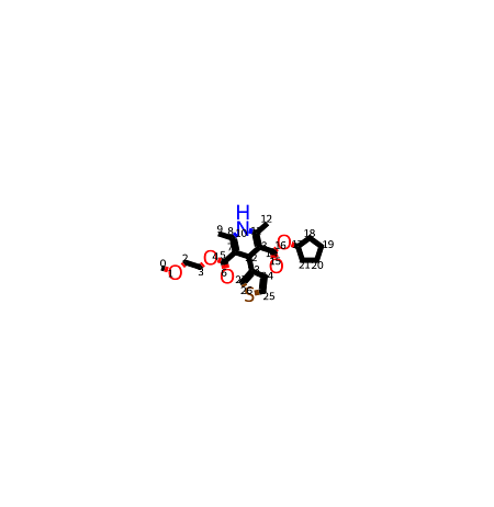 COCCOC(=O)C1=C(C)NC(C)=C(C(=O)OC2CCCC2)C1c1ccsc1